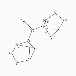 O=C(C1CC2CCN1C2)C1CC2CCN1C2